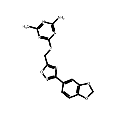 Cc1nc(N)nc(SCc2nc(-c3ccc4c(c3)OCO4)no2)n1